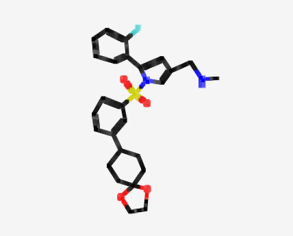 CNCc1cc(-c2ccccc2F)n(S(=O)(=O)c2cccc(C3CCC4(CC3)OCCO4)c2)c1